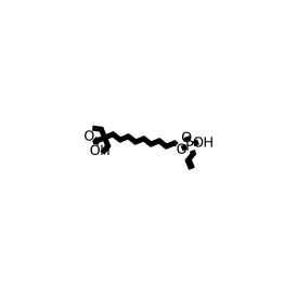 C=CCP(=O)(O)OCCCCCCCCCC(CC)(CC)C(=O)O